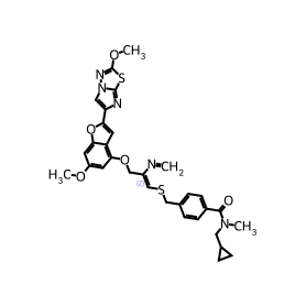 C=N/C(=C\SCc1ccc(C(=O)N(C)CC2CC2)cc1)COc1cc(OC)cc2oc(-c3cn4nc(OC)sc4n3)cc12